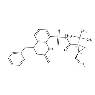 C=C[C@@H]1C[C@@]1(C(=O)NS(=O)(=O)c1cccc2c1NC(=O)CC2Cc1ccccc1)C(C)(C)C